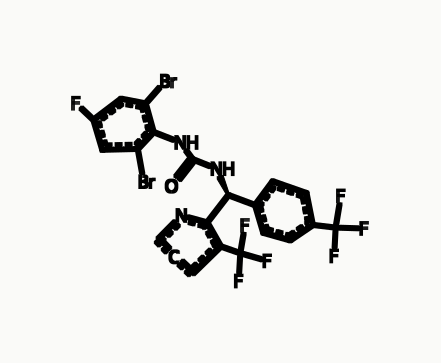 O=C(Nc1c(Br)cc(F)cc1Br)N[C@@H](c1ccc(C(F)(F)F)cc1)c1ncccc1C(F)(F)F